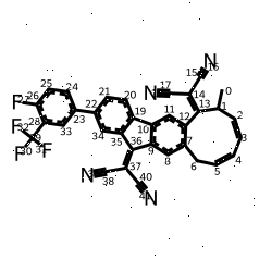 CC1/C=C\C=C/Cc2cc3c(cc2C1=C(C#N)C#N)-c1ccc(-c2ccc(F)c(C(F)(F)F)c2)cc1C3=C(C#N)C#N